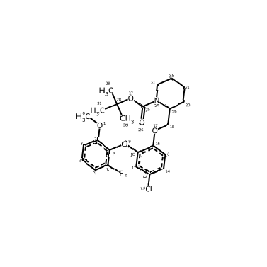 COc1cccc(F)c1Oc1cc(Cl)ccc1OCC1CCCCN1C(=O)OC(C)(C)C